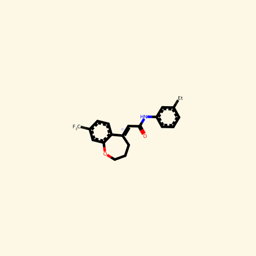 CCc1cccc(NC(=O)/C=C2\CCCOc3cc(C(F)(F)F)ccc32)c1